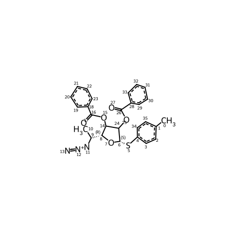 Cc1ccc(S[C@@H]2O[C@H](C(C)N=[N+]=[N-])C(OC(=O)c3ccccc3)C2OC(=O)c2ccccc2)cc1